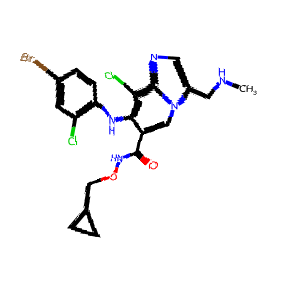 CNCc1cnc2c(Cl)c(Nc3ccc(Br)cc3Cl)c(C(=O)NOCC3CC3)cn12